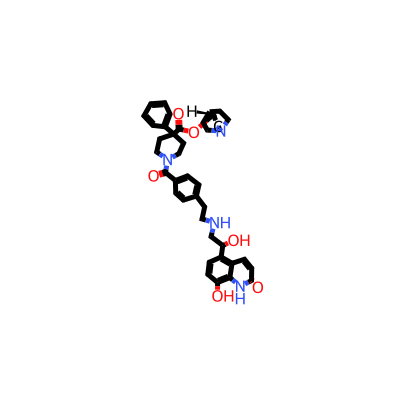 O=C(c1ccc(CCNCC(O)c2ccc(O)c3[nH]c(=O)ccc23)cc1)N1CCC(C(=O)O[C@H]2CN3CCC2CC3)(c2ccccc2)CC1